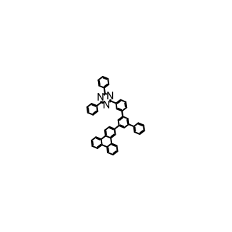 c1ccc(-c2cc(-c3cccc(-c4nc(-c5ccccc5)nc(-c5ccccc5)n4)c3)cc(-c3ccc4c5ccccc5c5ccccc5c4c3)c2)cc1